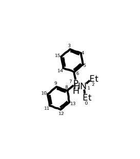 CCNCC.c1ccc(Pc2ccccc2)cc1